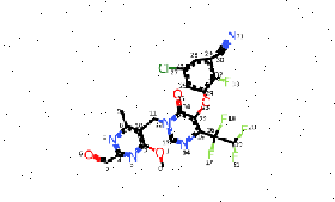 COc1nc(C=O)nc(C)c1Cn1cnc(C(F)(F)C(F)F)c(Oc2cc(Cl)cc(C#N)c2F)c1=O